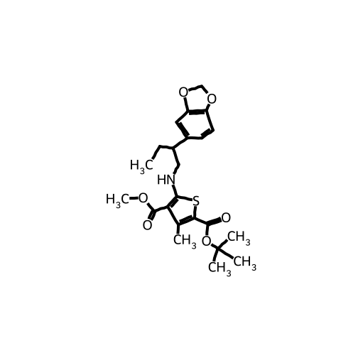 CCC(CNc1sc(C(=O)OC(C)(C)C)c(C)c1C(=O)OC)c1ccc2c(c1)OCO2